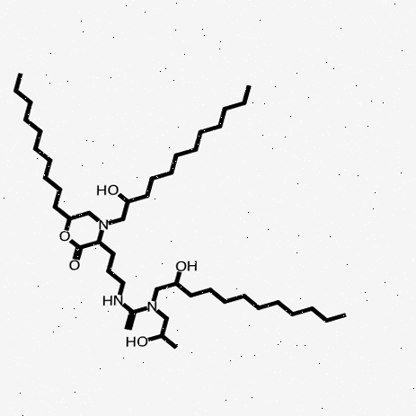 C=C(NCCCC1C(=O)OC(CCCCCCCCCC)CN1CC(O)CCCCCCCCCC)N(CC(C)O)CC(O)CCCCCCCCCC